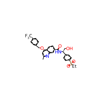 CCS(=O)(=O)c1ccc([C@H](CO)NC(=O)c2ccc3c(OCc4ccc(C(F)(F)F)cc4)cc(C)nc3c2)cc1